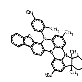 Cc1cc2c3c(c1)N1c4c(cc(C(C)(C)C)cc4C4(C)CCCCC14C)B3c1ccc3c(oc4ccccc43)c1N2c1ccc(C(C)(C)C)cc1C